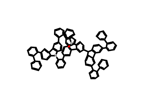 c1ccc(-c2ccccc2-c2ccc3c(c2)-c2cc(-c4ccccc4-c4ccccc4)ccc2C3c2ccc3c(c2)c2cc(-c4ccccc4-n4c5ccc(-c6ccccc6-c6ccccc6)cc5c5cc(-c6ccccc6-c6ccccc6)ccc54)ccc2n3-c2ccccc2)cc1